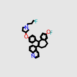 FCCCN1CCC(Oc2ccc(C3=C(c4cccc5ncccc45)CCCc4cc(OF)ccc43)cc2)C1